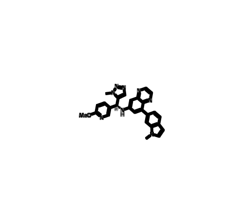 COc1ccc([C@@H](Nc2cc(-c3ccc4ccn(C)c4c3)c3nccnc3c2)c2cnnn2C)cn1